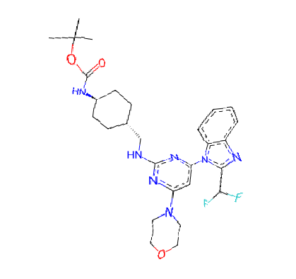 CC(C)(C)OC(=O)N[C@H]1CC[C@H](CNc2nc(N3CCOCC3)cc(-n3c(C(F)F)nc4ccccc43)n2)CC1